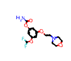 NC(=O)Oc1cc(OCCN2CCOCC2)cc(OC(F)F)c1